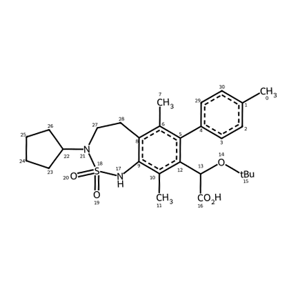 Cc1ccc(-c2c(C)c3c(c(C)c2C(OC(C)(C)C)C(=O)O)NS(=O)(=O)N(C2CCCC2)CC3)cc1